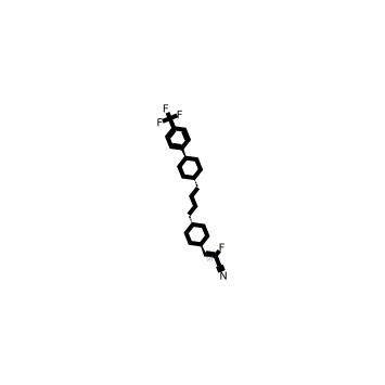 N#C/C(F)=C/[C@H]1CC[C@H](CCCC[C@H]2CC[C@H](c3ccc(C(F)(F)F)cc3)CC2)CC1